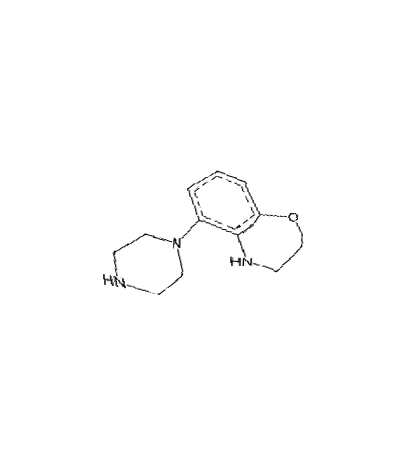 c1cc2c(c(N3CCNCC3)c1)NCCO2